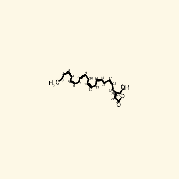 CC/C=C\C/C=C\C/C=C\C/C=C\C/C=C\C/C=C\CC1=CC(=O)OC1O